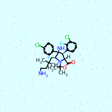 CC(C)(CCN)C[C@@H]1N2[C@@H](C(=O)OC2(C)C)[C@H](c2cccc(Cl)c2F)[C@@]1(N)c1ccc(Cl)cc1F